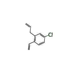 C=CCc1cc(Cl)ccc1C=C